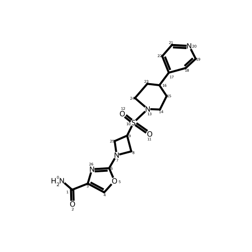 NC(=O)c1coc(N2CC(S(=O)(=O)N3CCC(c4ccncc4)CC3)C2)n1